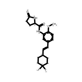 COc1ccc(/C=C/C2CCC(F)(F)CC2)cc1NC(=O)C1CCC(=O)N1